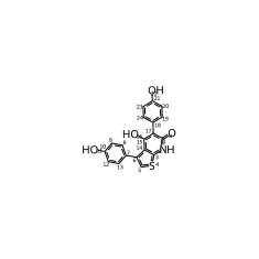 O=c1[nH]c2scc(-c3ccc(O)cc3)c2c(O)c1-c1ccc(O)cc1